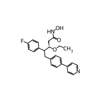 CCO[C@H](CC(=O)NO)C(Cc1ccc(-c2ccncc2)cc1)c1ccc(F)cc1